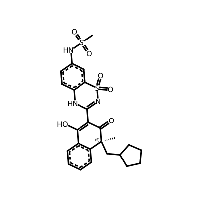 C[C@@]1(CC2CCCC2)C(=O)C(C2=NS(=O)(=O)c3cc(NS(C)(=O)=O)ccc3N2)=C(O)c2ccccc21